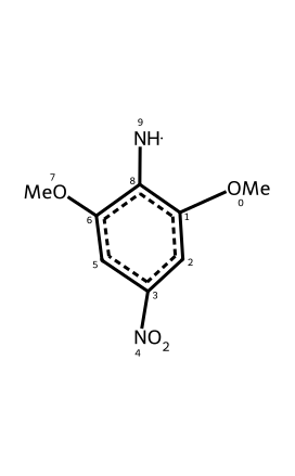 COc1cc([N+](=O)[O-])cc(OC)c1[NH]